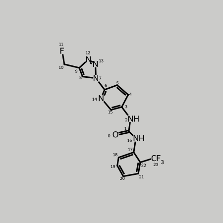 O=C(Nc1ccc(-n2cc(CF)nn2)nc1)Nc1ccccc1C(F)(F)F